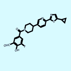 O=Cc1cc(C(=O)N2CCC(c3ccc(-c4ncc(C5CC5)s4)nc3)CC2)cc(F)c1O